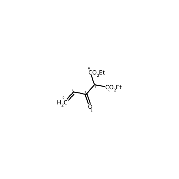 C=CC(=O)C(C(=O)OCC)C(=O)OCC